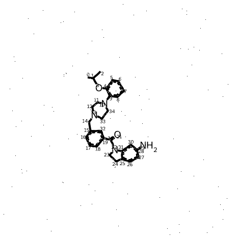 CC(C)Oc1ccccc1N1CCN(Cc2cccc(C(=O)N3CCc4ccc(N)cc43)c2)CC1